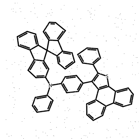 c1ccc(-c2sc3c4ccccc4c4ccccc4c3c2-c2ccc(N(c3ccccc3)c3ccc4c(c3)C3(c5ccccc5-c5ccccc53)c3ccccc3-4)cc2)cc1